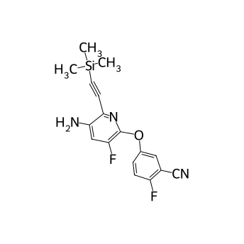 C[Si](C)(C)C#Cc1nc(Oc2ccc(F)c(C#N)c2)c(F)cc1N